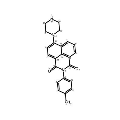 Cc1ccc(N2C(=O)c3cccc4c(N5CCNCC5)ccc(c34)C2=O)cc1